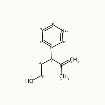 C=C(C)C(CCO)c1cccnc1